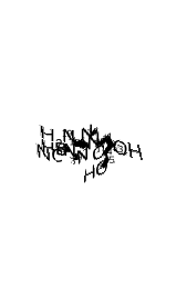 N#CB[n+]1cnc2c(ncn2[C@H]2C[C@H](O)[C@@H](CO)O2)c1N